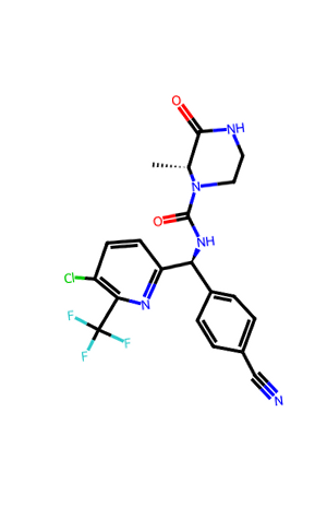 C[C@@H]1C(=O)NCCN1C(=O)N[C@@H](c1ccc(C#N)cc1)c1ccc(Cl)c(C(F)(F)F)n1